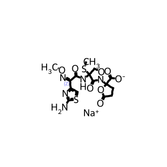 CO/N=C(\C(=O)NC1(SC)CON(C2(C(=O)[O-])CCC(=O)O2)C1=O)c1csc(N)n1.[Na+]